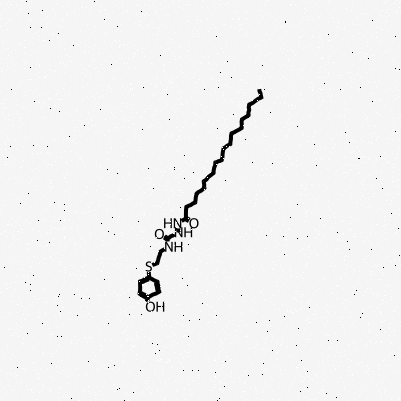 CCCCCCCCCCCCCCCCCC(=O)NNC(=O)NCCSc1ccc(O)cc1